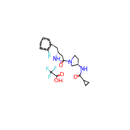 N[C@@H](CC(=O)N1CC[C@@H](NC(=O)C2CC2)C1)Cc1ccccc1F.O=C(O)C(F)(F)F